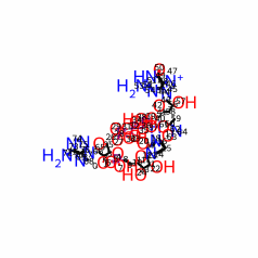 CO[C@@H]1[C@H](OP(=O)(O)CC[C@H]2O[C@@H](n3ccc(=O)[nH]c3=O)[C@H](O)[C@@H]2O)[C@@H](COP(=O)(O)OP(=O)(O)OP(=O)(O)OC[C@H]2O[C@@H](n3c[n+](C)c4c(=O)[nH]c(N)nc43)[C@H](O)[C@@H]2CC(=O)N(C)C)O[C@H]1n1cnc2c(N)ncnc21